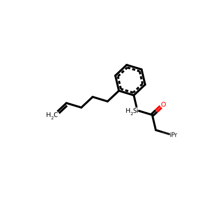 C=CCCCc1ccccc1[SiH2]C(=O)CC(C)C